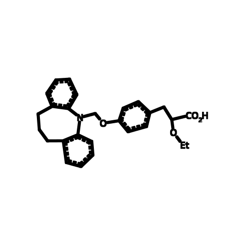 CCOC(Cc1ccc(OCN2c3ccccc3CCCc3ccccc32)cc1)C(=O)O